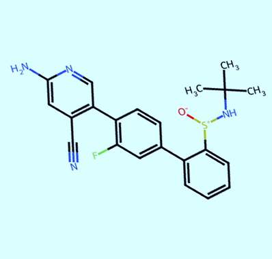 CC(C)(C)N[S+]([O-])c1ccccc1-c1ccc(-c2cnc(N)cc2C#N)c(F)c1